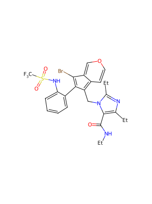 CCNC(=O)c1c(CC)nc(CC)n1Cc1c2ccocc-2c(Br)c1-c1ccccc1NS(=O)(=O)C(F)(F)F